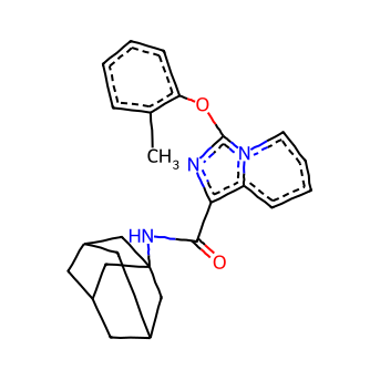 Cc1ccccc1Oc1nc(C(=O)NC23CC4CC(CC(C4)C2)C3)c2ccccn12